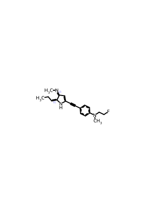 CC/C=C1/NC(C#Cc2ccc(N(C)CCF)cc2)=C/C1=N/C